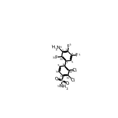 Nc1c(F)c(F)cc(-c2ccc(S(N)(=O)=O)c(Cl)c2Cl)c1F